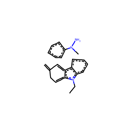 C=C1C=c2c(n(CC)c3ccccc23)=CC1.CN(N)c1ccccc1